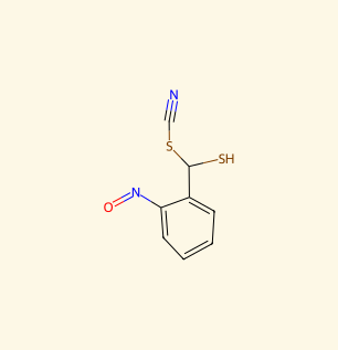 N#CSC(S)c1ccccc1N=O